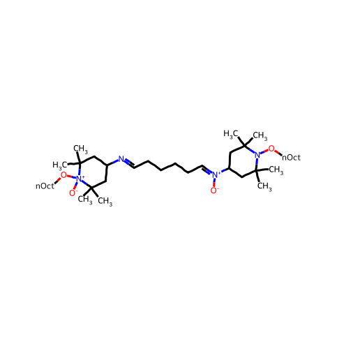 CCCCCCCCON1C(C)(C)CC([N+]([O-])=CCCCCC=NC2CC(C)(C)[N+]([O-])(OCCCCCCCC)C(C)(C)C2)CC1(C)C